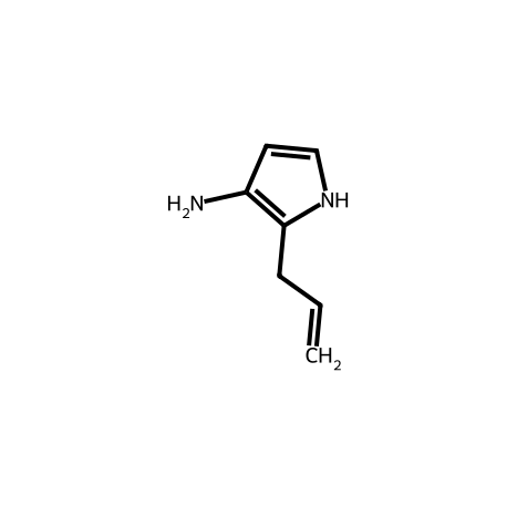 C=CCc1[nH]ccc1N